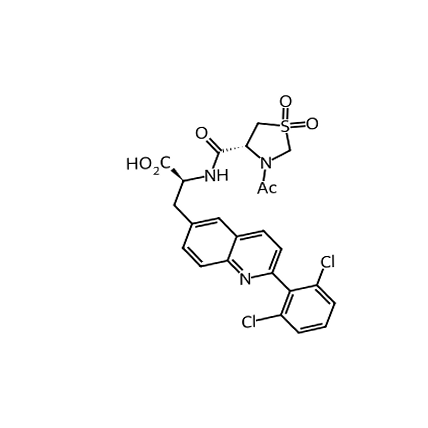 CC(=O)N1CS(=O)(=O)C[C@H]1C(=O)N[C@@H](Cc1ccc2nc(-c3c(Cl)cccc3Cl)ccc2c1)C(=O)O